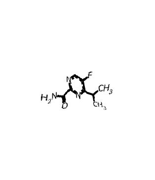 CC(C)c1nc(C(N)=O)ncc1F